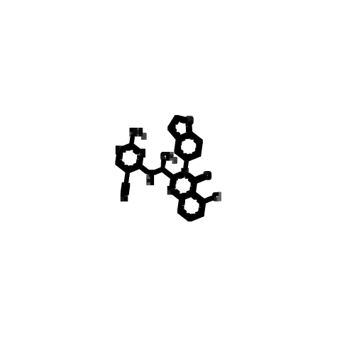 C[C@H](Nc1nc(N)ncc1C#N)c1nc2cccc(Cl)c2c(=O)n1-c1ccc2occc2c1